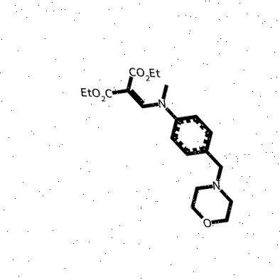 CCOC(=O)C(=CN(C)c1ccc(CN2CCOCC2)cc1)C(=O)OCC